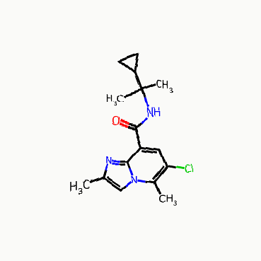 Cc1cn2c(C)c(Cl)cc(C(=O)NC(C)(C)C3CC3)c2n1